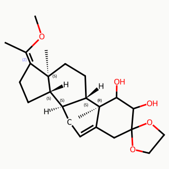 CO/C(C)=C1/CC[C@H]2[C@@H]3CC=C4CC5(OCCO5)C(O)C(O)[C@]4(C)[C@H]3CC[C@]12C